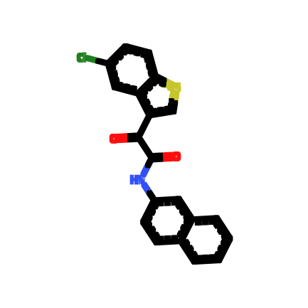 O=C(Nc1ccc2ccccc2c1)C(=O)c1csc2ccc(Cl)cc12